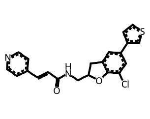 O=C(/C=C/c1ccncc1)NCC1Cc2cc(-c3ccsc3)cc(Cl)c2O1